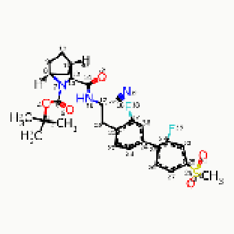 CC(C)(C)OC(=O)N1[C@@H]2CC[C@@H](C2)[C@H]1C(=O)N[C@H](C#N)Cc1ccc(-c2ccc(S(C)(=O)=O)cc2F)cc1F